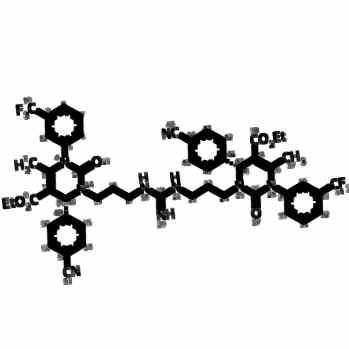 CCOC(=O)C1=C(C)N(c2cccc(C(F)(F)F)c2)C(=O)N(CCCNC(=N)NCCCN2C(=O)N(c3cccc(C(F)(F)F)c3)C(C)=C(C(=O)OCC)[C@H]2c2ccc(C#N)cc2)[C@@H]1c1ccc(C#N)cc1